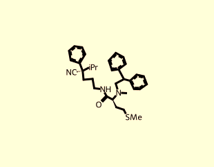 CSCC[C@@H](C(=O)NCCC[C@@](C#N)(c1ccccc1)C(C)C)N(C)CC(c1ccccc1)c1ccccc1